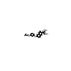 CC(C)CCOc1cccc(Oc2ccc3cc(C(N)(CO)CO)ccc3c2)c1